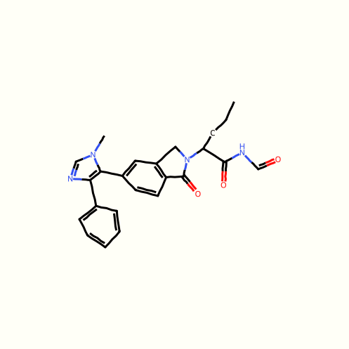 CCCC(C(=O)NC=O)N1Cc2cc(-c3c(-c4ccccc4)ncn3C)ccc2C1=O